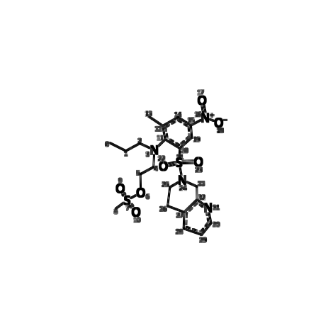 CCCN(CCOS(C)(=O)=O)c1c(C)cc([N+](=O)[O-])cc1S(=O)(=O)N1CCc2cccnc2C1